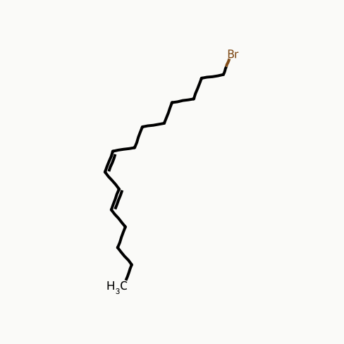 CCCC/C=C/C=C\CCCCCCCBr